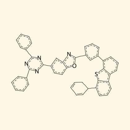 C1=CCC(c2cccc3c2sc2c(-c4cccc(-c5nc6cc(-c7nc(-c8ccccc8)nc(-c8ccccc8)n7)ccc6o5)c4)cccc23)C=C1